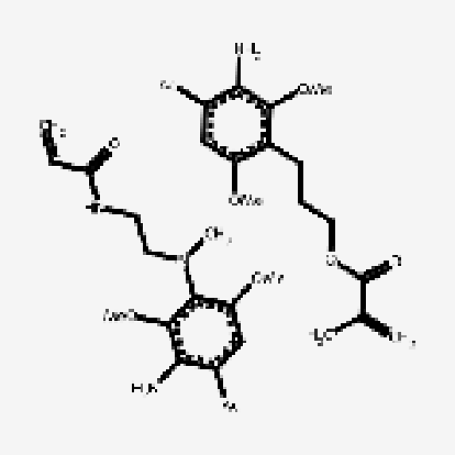 C=C(C)C(=O)OCCCc1c(OC)cc(C(C)=O)c(N)c1OC.C=CC(=O)NCCN(C)c1c(OC)cc(C(C)=O)c(N)c1OC